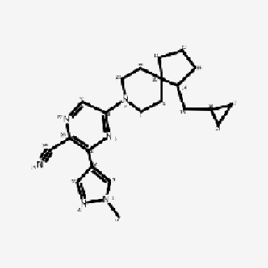 Cn1cc(-c2nc(N3CCC4(CCCC4CC4CC4)CC3)cnc2C#N)cn1